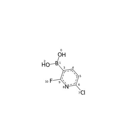 OB(O)c1ccc(Cl)nc1F